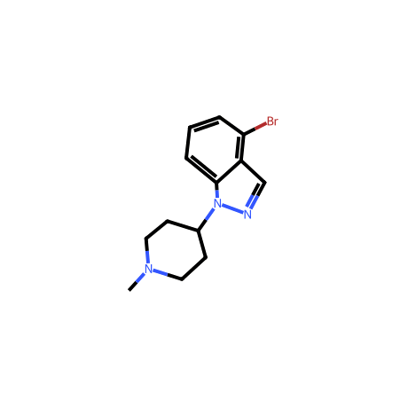 CN1CCC(n2ncc3c(Br)cccc32)CC1